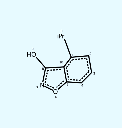 CC(C)c1cccc2onc(O)c12